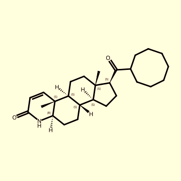 C[C@]12C=CC(=O)N[C@@H]1CC[C@@H]1[C@@H]2CC[C@]2(C)[C@@H](C(=O)C3CCCCCCC3)CC[C@@H]12